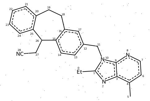 CCc1nc2c(C)ccnc2n1Cc1ccc2c(c1)CCc1ccccc1C2CC#N